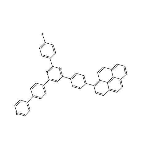 Fc1ccc(-c2nc(-c3ccc(-c4ccncc4)cc3)cc(-c3ccc(-c4ccc5ccc6cccc7ccc4c5c67)cc3)n2)cc1